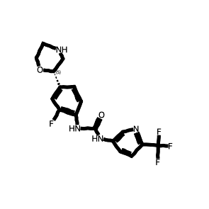 O=C(Nc1ccc(C(F)(F)F)nc1)Nc1ccc([C@H]2CNCCO2)cc1F